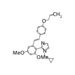 C=CCOc1ccc(C=Cc2cc(OC)cc(OC)c2-c2nccn2CC2CC2)cc1